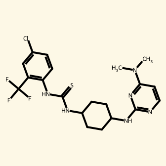 CN(C)c1ccnc(NC2CCC(NC(=S)Nc3ccc(Cl)cc3C(F)(F)F)CC2)n1